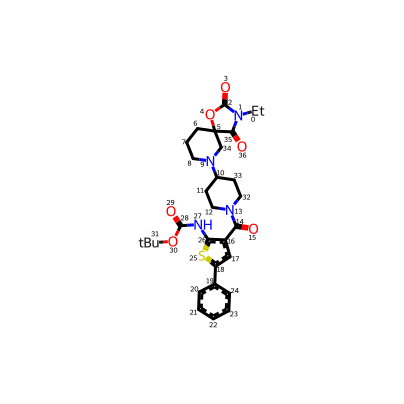 CCN1C(=O)OC2(CCCN(C3CCN(C(=O)c4cc(-c5ccccc5)sc4NC(=O)OC(C)(C)C)CC3)C2)C1=O